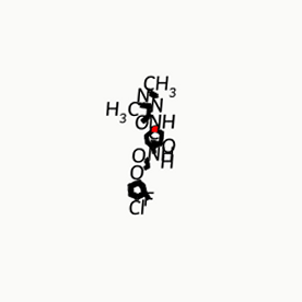 Cc1cnc(C(=O)NC23CCC(NC(=O)COc4ccc(Cl)c(F)c4)(CC2)C(O)C3)c(C)n1